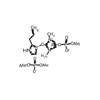 C=CCc1[nH]cc[n+]1C.COP(=O)([O-])OC.COP(=O)([O-])OC.Cn1cc[n+](C)c1